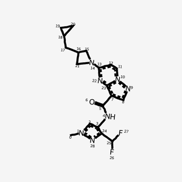 Cn1cc(NC(=O)c2cnn3ccc(N4CC(CC5CC5)C4)nc23)c(C(F)F)n1